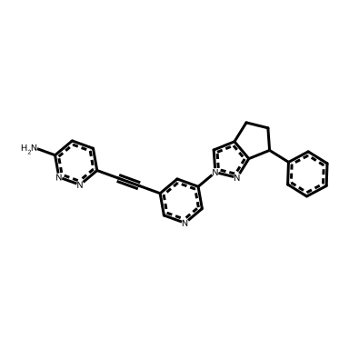 Nc1ccc(C#Cc2cncc(-n3cc4c(n3)C(c3ccccc3)CC4)c2)nn1